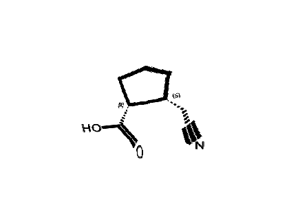 N#C[C@H]1CCC[C@H]1C(=O)O